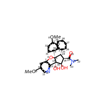 COc1ccc([C@@]23Oc4cc(OC)cnc4[C@]2(O)[C@H](O)[C@H](C(=O)N(C)C)[C@H]3c2ccccc2)cc1